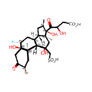 C[C@@H]1C[C@H]2[C@@H]3C[C@@H](F)[C@@]4(O)CC(=O)[C@H](Br)C[C@]4(C)[C@H]3[C@@](O)(CS(=O)(=O)O)C[C@]2(C)[C@@]1(O)C(=O)C(O)CC(=O)O